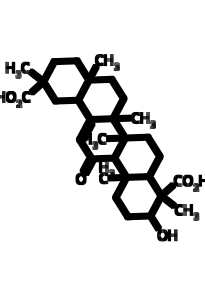 CC1(C(=O)O)CCC2(C)CCC3(C)C(=CC(=O)C4C5(C)CCC(O)C(C)(C(=O)O)C5CCC43C)C2C1